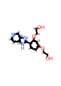 OCCOc1ccc(-c2nc3cnccc3[nH]2)c(OCCO)c1